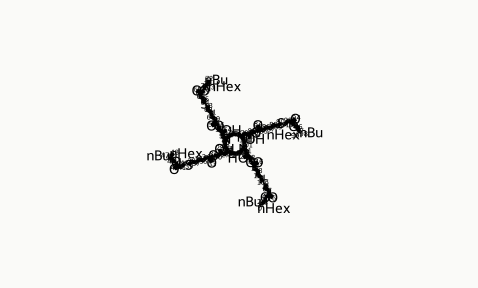 CCCCCCC(CCCC)COC(=O)CCSCCCCCC(=O)OCC(O)CN1CCCN(CC(O)COC(=O)CCCCCSCCC(=O)OCC(CCCC)CCCCCC)CCN(CC(O)COC(=O)CCCCCSCCC(=O)OCC(CCCC)CCCCCC)CCCN(CC(O)COC(=O)CCCCCSCCC(=O)OCC(CCCC)CCCCCC)CC1